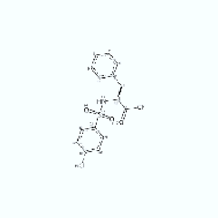 O=C(Cl)[C@H](Cc1ccccc1)NS(=O)(=O)c1ccc(Cl)cc1